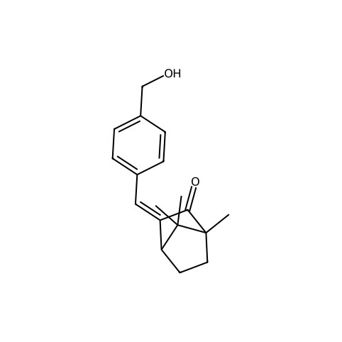 CC12CCC(/C(=C/c3ccc(CO)cc3)C1=O)C2(C)C